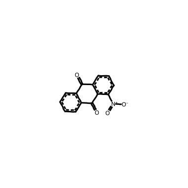 O=C1c2ccccc2C(=O)c2c1cccc2[N+](=O)[O-]